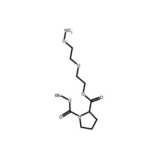 CC(C)(C)OC(=O)N1CCCC1C(=O)OCCOCCO[N+](=O)[O-]